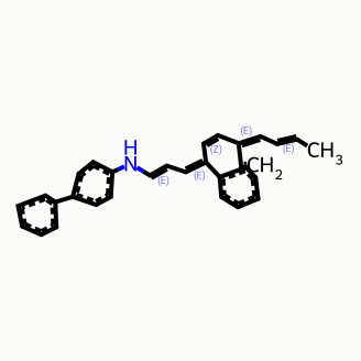 C=CC(/C=C\C(=C/C=C/Nc1ccc(-c2ccccc2)cc1)c1ccccc1)=C\C=C\C